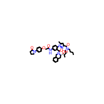 CCCCN(CCCC)C(=O)c1cc(C)n(-c2ccc(NC(=O)COc3ccc(N4CCCC4=O)cc3)cc2C(=O)N2Cc3ccccc3C[C@H]2CO)n1